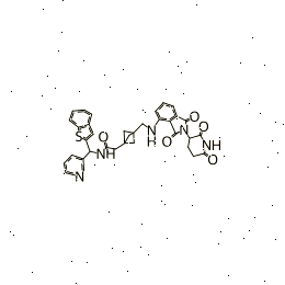 O=C1CCC(N2C(=O)c3cccc(NCC45CC(CC(=O)NC(c6cccnc6)c6cc7ccccc7s6)(C4)C5)c3C2=O)C(=O)N1